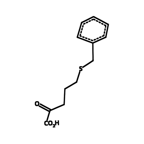 O=C(O)C(=O)CCCSCc1ccccc1